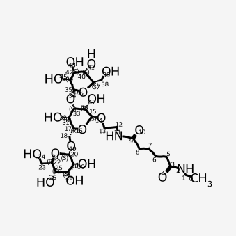 CCNC(=O)CCCCC(=O)NCCO[C@H]1O[C@H](CO[C@H]2O[C@H](CO)[C@@H](O)[C@H](O)[C@@H]2O)[C@@H](O)[C@H](O[C@H]2O[C@H](CO)[C@@H](O)[C@H](O)[C@@H]2O)[C@@H]1O